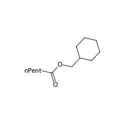 [CH2]CCCCC(=O)OCC1CCCCC1